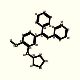 COc1ccc(/C(=C/c2cccnc2)c2ccccc2)cc1OC1CCCC1